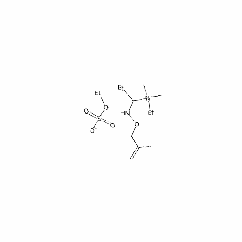 C=C(C)CONC(CC)[N+](C)(C)CC.CCOS(=O)(=O)[O-]